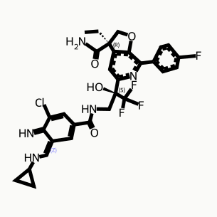 CC[C@]1(C(N)=O)COc2c1cc([C@@](O)(CNC(=O)C1=C/C(=C/NC3CC3)C(=N)C(Cl)=C1)C(F)(F)F)nc2-c1ccc(F)cc1